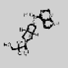 CN(c1ncnc2[nH]ccc12)[C@@H]1C[C@@H]2CN(C(=O)C(C)(C)CO)C[C@@H]2C1